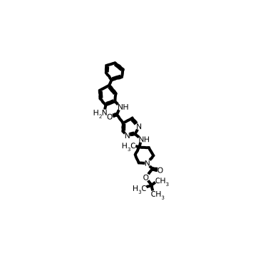 CC1(Nc2ncc(C(=O)Nc3cc(-c4ccccc4)ccc3N)cn2)CCN(C(=O)OC(C)(C)C)CC1